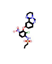 CCCS(=O)(=O)Nc1ccc([N+](=O)[O-])c(Oc2ccc3c(c2)C2=NCCCN2C=N3)c1Cl